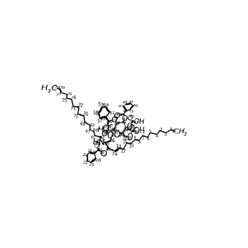 CCCCCCCCCCCCCC=CC(OC(=O)c1ccccc1)C(CO[C@@]1(C)O[C@H](COC(=O)O)[C@H](OC(=O)O)[C@H](OC(=O)c2ccccc2)[C@H]1OC(=O)c1ccccc1)NC(=O)CCCCCCCCCCCCCCC